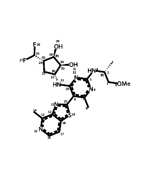 COC[C@@H](C)Nc1nc(C)c(-c2nc3c(C)nccc3s2)c(N[C@@H]2C[C@H](C(F)F)[C@@H](O)[C@H]2O)n1